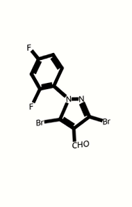 O=Cc1c(Br)nn(-c2ccc(F)cc2F)c1Br